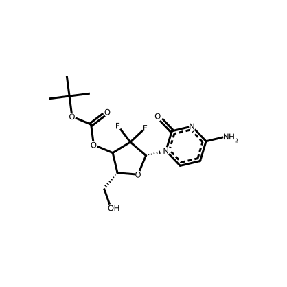 CC(C)(C)OC(=O)OC1[C@@H](CO)O[C@@H](n2ccc(N)nc2=O)C1(F)F